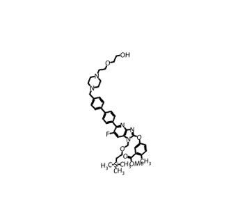 COC(=O)c1cc(Oc2nc3nc(-c4ccc(-c5ccc(CN6CCN(CCOCCO)CC6)cc5)cc4)c(F)cc3n2COCC[Si](C)(C)C)ccc1C